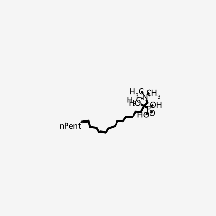 CCCCC/C=C\CC/C=C\CCCCCCCCC(O)(C[N+](C)(C)C)P(=O)(O)O